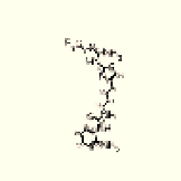 N/C(=N/CC(F)(F)F)Nc1nc(CCCCNC(=S)Nc2ccccc2N)cs1